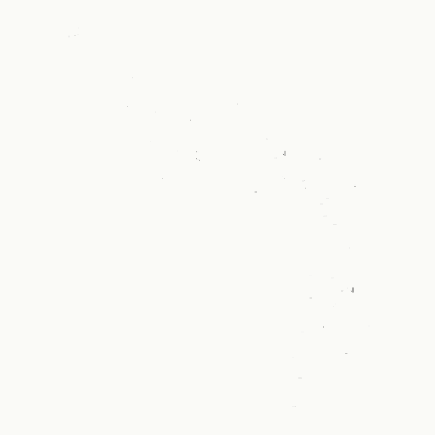 CCCCCCCCCCCCCCCCS(=O)(=O)Nc1cccc(NC(=O)C(Cl)(Oc2ccc(NS(=O)(=O)c3ccc(O)cc3)cc2)C(=O)C(C)(C)C)c1